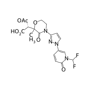 CC(=O)O[C@@H](C(=O)O)C1(C)OCCN(c2ccn(-c3ccc(=O)n(C(F)F)c3)n2)C1=O